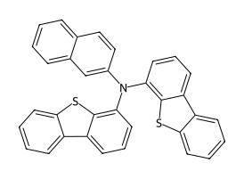 c1ccc2cc(N(c3cccc4c3sc3ccccc34)c3cccc4c3sc3ccccc34)ccc2c1